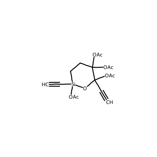 C#CC1(OC(C)=O)O[Si](C#C)(OC(C)=O)CCC1(OC(C)=O)OC(C)=O